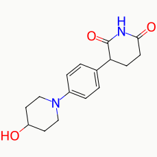 O=C1CCC(c2ccc(N3CCC(O)CC3)cc2)C(=O)N1